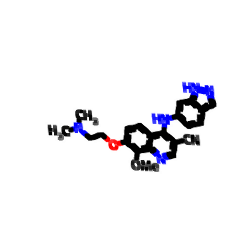 COc1c(OCCN(C)C)ccc2c(Nc3ccc4cn[nH]c4c3)c(C#N)cnc12